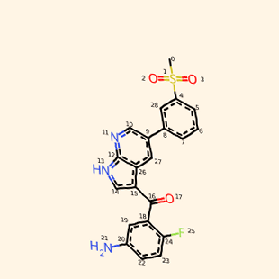 CS(=O)(=O)c1cccc(-c2cnc3[nH]cc(C(=O)c4cc(N)ccc4F)c3c2)c1